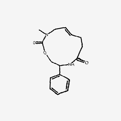 CN1C/C=C/CCC(=O)NC(c2ccccc2)COC1=O